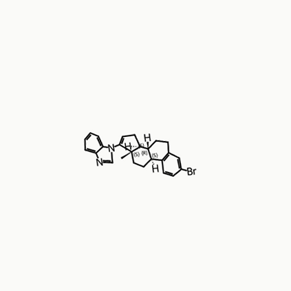 C[C@]12CC[C@@H]3c4ccc(Br)cc4CC[C@H]3[C@@H]1CC=C2n1cnc2ccccc21